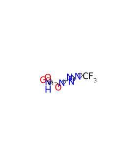 O=C1N[C@H](CCC(=O)N2CC(c3ncc(N4CCC(C(F)(F)F)C4)cn3)C2)CO1